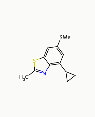 CSc1cc(C2CC2)c2nc(C)sc2c1